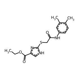 CCOC(=O)c1c[nH]c(SCC(=O)Nc2ccc(C)c(C)c2)n1